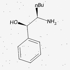 CCCC[C@@H](N)[C@H](O)c1ccccc1